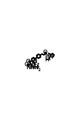 CCN1CCCC1CNC(=O)CCc1ccc(-c2ccc3c(=O)c(C(=O)NC)c(N)n(CC)c3n2)cc1